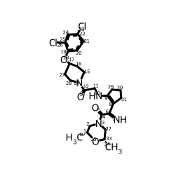 C[C@@H]1CN(C(=O)C(=N)C2=C(NCC(=O)N3CCC(Oc4ccc(Cl)cc4Cl)CC3)CCC2)C[C@H](C)O1